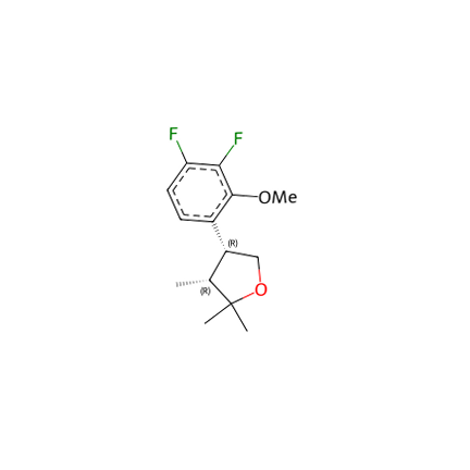 COc1c([C@@H]2COC(C)(C)[C@@H]2C)ccc(F)c1F